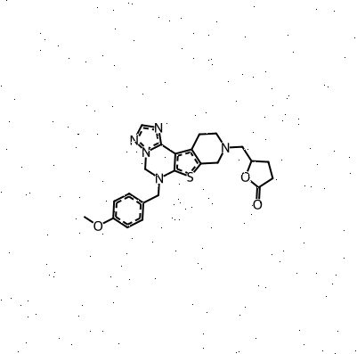 COc1ccc(CN2Cn3ncnc3-c3c2sc2c3CCN(CC3CCC(=O)O3)C2)cc1